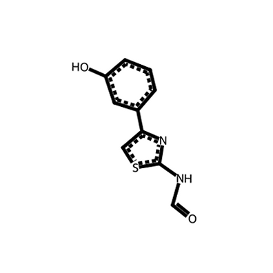 O=CNc1nc(-c2cccc(O)c2)cs1